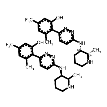 Cc1cc(C(F)(F)F)cc(O)c1-c1ccc(NC2CCCNC2C)nn1.Cc1cc(C(F)(F)F)cc(O)c1-c1ccc(N[C@H]2CCCN[C@H]2C)nn1